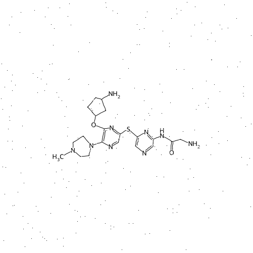 CN1CCN(c2ncc(Sc3cncc(NC(=O)CN)n3)nc2OC2CCC(N)C2)CC1